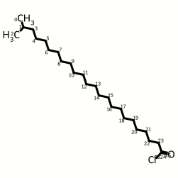 CC(C)CCCCCCCCCCCCCCCCCCCCCC(=O)Cl